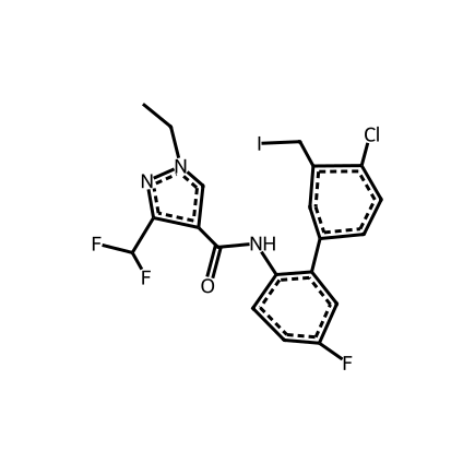 CCn1cc(C(=O)Nc2ccc(F)cc2-c2ccc(Cl)c(CI)c2)c(C(F)F)n1